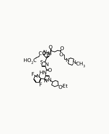 CCOC1CCC(n2cc(NC(=O)c3csc(-c4cnn(C(=O)CCC(=O)OCCN5CCN(C)CC5)c4)n3)c(-c3nc(F)ccc3F)n2)CC1.O=C(O)CCC(=O)O